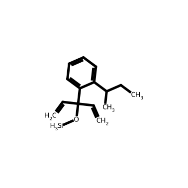 C=CC(C=C)(O[SiH3])c1ccccc1C(C)CC